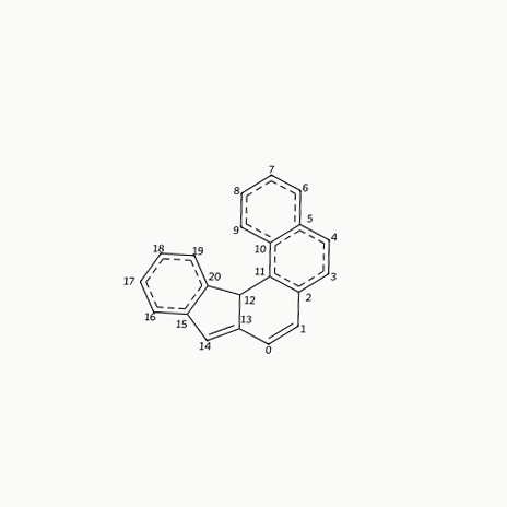 C1=Cc2ccc3ccccc3c2C2C1=Cc1ccccc12